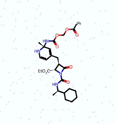 CCOC(=O)[C@@H]1[C@@H](CC2=C[C@@](C)(NC(=O)OCOC(=O)C(C)C)NC=C2)C(=O)N1C(=O)N[C@H](C)C1CCCCC1